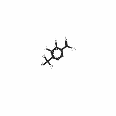 CC(=O)c1ccc(C(Cl)(Cl)Cl)c(Cl)c1Cl